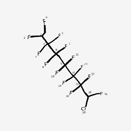 FC(F)C(F)(F)C(F)(F)C(F)(F)C(F)(F)C(F)(F)C(F)Cl